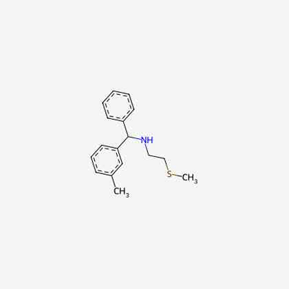 CSCCNC(c1ccccc1)c1cccc(C)c1